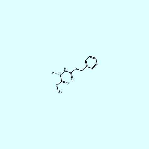 CC(C)[C@H](NC(=O)OCc1ccccc1)C(=O)OC(C)(C)C